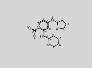 O=[N+]([O-])c1ccc(OC2CCCC2)cc1NC1CCCCC1